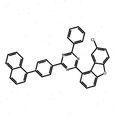 Clc1ccc2oc3cccc(-c4nc(-c5ccccc5)nc(-c5ccc(-c6cccc7ccccc67)cc5)n4)c3c2c1